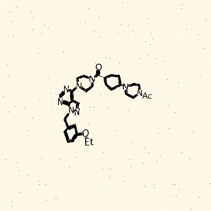 CCOc1cccc(Cn2ncc3c(N4CCN(C(=O)[C@H]5CC[C@H](N6CCN(C(C)=O)CC6)CC5)CC4)ncnc32)c1